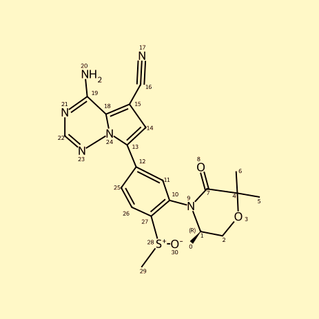 C[C@@H]1COC(C)(C)C(=O)N1c1cc(-c2cc(C#N)c3c(N)ncnn23)ccc1[S+](C)[O-]